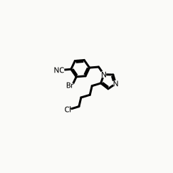 N#Cc1ccc(Cn2cncc2CCCCCl)cc1Br